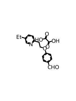 CCc1ccc(CCOc2ccc(C=O)cc2)nc1.O=C(O)C(=O)O